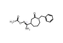 CC(=O)O/N=C(\N)C1CCCN(Cc2ccccc2)C(=O)C1